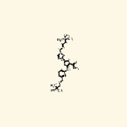 CC(C)(O)COCc1cccc(Nc2sc(-c3ncn(COCC[Si](C)(C)C)n3)cc2C(N)=O)n1